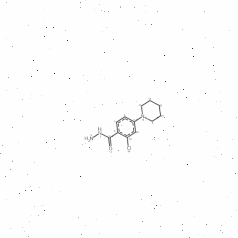 NNC(=O)c1ccc(N2CCCCC2)cc1Cl